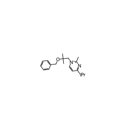 Cc1nc(C(C)C)cc[n+]1CC(C)(C)OCc1ccccc1